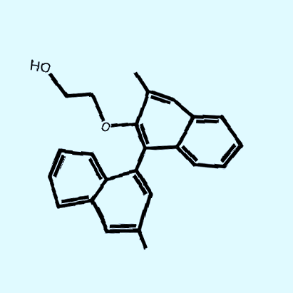 Cc1cc(-c2c(OCCO)c(C)cc3ccccc23)c2ccccc2c1